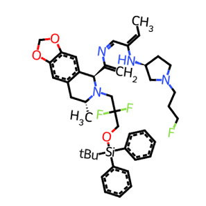 C=C(/N=C\C(=C/C)N[C@H]1CCN(CCCF)C1)[C@@H]1c2cc3c(cc2C[C@@H](C)N1CC(F)(F)CO[Si](c1ccccc1)(c1ccccc1)C(C)(C)C)OCO3